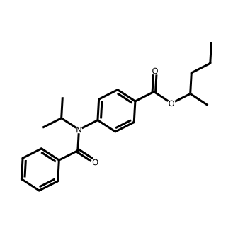 CCCC(C)OC(=O)c1ccc(N(C(=O)c2ccccc2)C(C)C)cc1